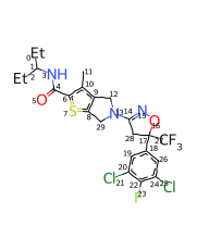 CCC(CC)NC(=O)c1sc2c(c1C)CN(C1=NOC(c3cc(Cl)c(F)c(Cl)c3)(C(F)(F)F)C1)C2